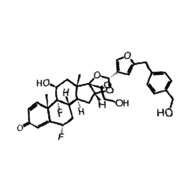 C[C@]12C=CC(=O)C=C1[C@@H](F)C[C@H]1[C@@H]3C[C@H]4O[C@@H](c5coc(Cc6ccc(CO)cc6)c5)O[C@@]4(C(=O)CO)[C@@]3(C)C[C@H](O)[C@@]12F